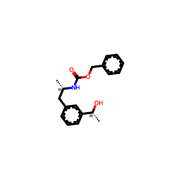 C[C@@H](Cc1cccc([C@@H](C)O)c1)NC(=O)OCc1ccccc1